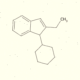 CCC1=Cc2ccccc2C1C1CCCCC1